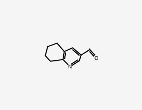 O=[C]c1cnc2c(c1)CCCC2